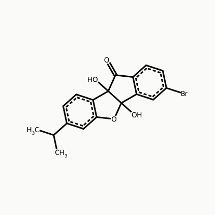 CC(C)c1ccc2c(c1)OC1(O)c3cc(Br)ccc3C(=O)C21O